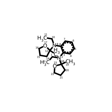 CCN(c1ccccc1N(CC)C1(C)CCCO1)C1(C)CCCO1